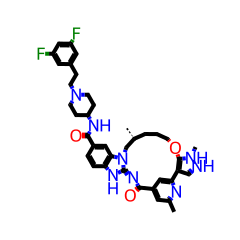 CN/C1=C(\C=N)c2cc(cc(C)n2)C(=O)/N=C2\Nc3ccc(C(=O)NC4CCN(CCc5cc(F)cc(F)c5)CC4)cc3N2C[C@H](C)CCCO1